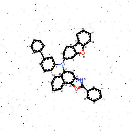 c1ccc(-c2cccc(N(c3ccc4c(c3)oc3ccccc34)c3cc4nc(-c5ccccc5)oc4c4ccccc34)c2)cc1